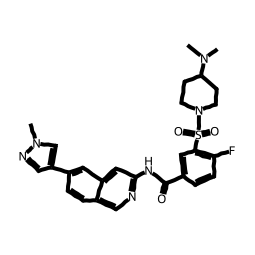 CN(C)C1CCN(S(=O)(=O)c2cc(C(=O)Nc3cc4cc(-c5cnn(C)c5)ccc4cn3)ccc2F)CC1